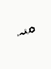 O=C(C=CBr)Oc1ccccc1